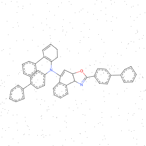 C1=CC(c2ccccc2)=C(N(C2=CC3OC(c4ccc(-c5ccccc5)cc4)=NC3c3ccccc32)c2ccc(-c3ccccc3)cc2)CC1